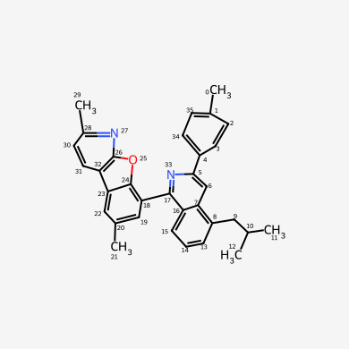 Cc1ccc(-c2cc3c(CC(C)C)cccc3c(-c3cc(C)cc4c3oc3nc(C)ccc34)n2)cc1